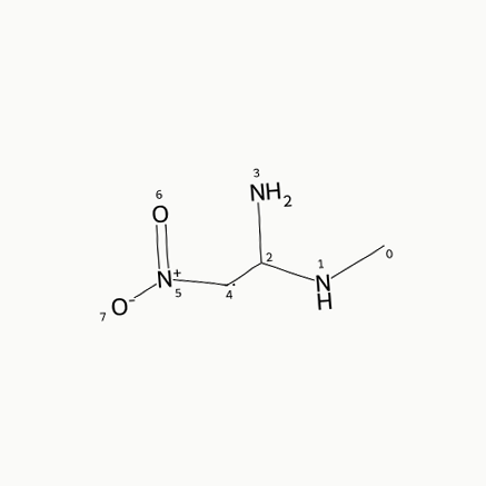 CNC(N)[CH][N+](=O)[O-]